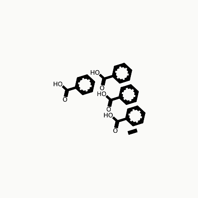 C=C.O=C(O)c1ccccc1.O=C(O)c1ccccc1.O=C(O)c1ccccc1.O=C(O)c1ccccc1